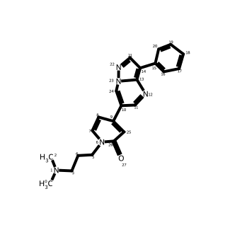 CN(C)CCCn1ccc(-c2cnc3c(-c4ccccc4)cnn3c2)cc1=O